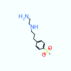 CS(=O)(=O)c1ccc(CCCNCCN)cc1